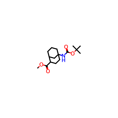 COC(=O)C1CCC2(NC(=O)OC(C)(C)C)CCCC1C2